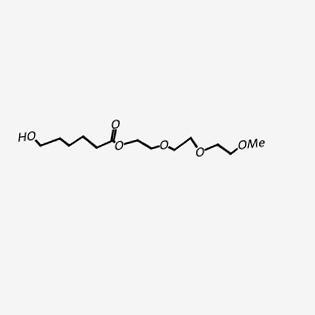 COCCOCCOCCOC(=O)CCCCCO